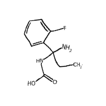 [CH2]CC(N)(NC(=O)O)c1ccccc1F